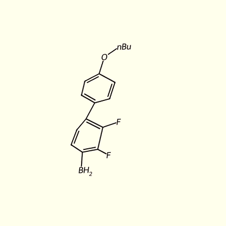 Bc1ccc(-c2ccc(OCCCC)cc2)c(F)c1F